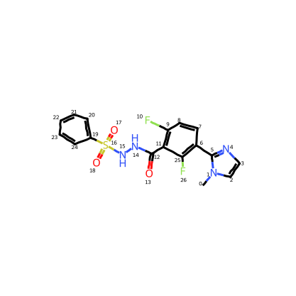 Cn1ccnc1-c1ccc(F)c(C(=O)NNS(=O)(=O)c2ccccc2)c1F